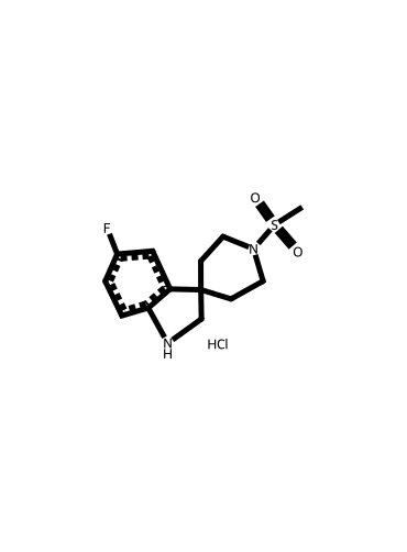 CS(=O)(=O)N1CCC2(CC1)CNc1ccc(F)cc12.Cl